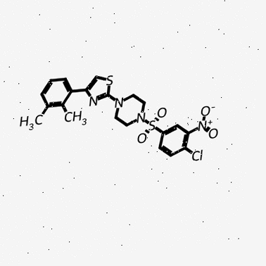 Cc1cccc(-c2csc(N3CCN(S(=O)(=O)c4ccc(Cl)c([N+](=O)[O-])c4)CC3)n2)c1C